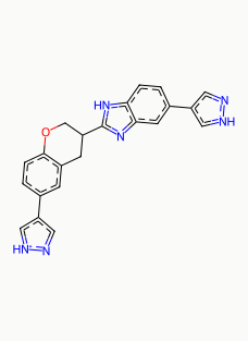 c1cc2c(cc1-c1cn[nH]c1)CC(c1nc3cc(-c4cn[nH]c4)ccc3[nH]1)CO2